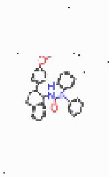 COc1ccc(C2CCc3ccccc3C2NC(=O)N(c2ccccc2)c2ccccc2)cc1